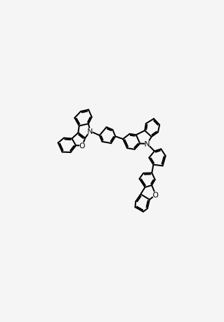 c1cc(-c2ccc3c(c2)oc2ccccc23)cc(-n2c3ccccc3c3cc(-c4ccc(-n5c6ccccc6c6c7ccccc7oc65)cc4)ccc32)c1